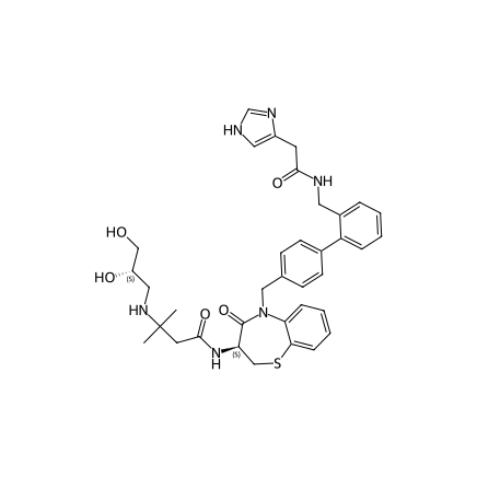 CC(C)(CC(=O)N[C@@H]1CSc2ccccc2N(Cc2ccc(-c3ccccc3CNC(=O)Cc3c[nH]cn3)cc2)C1=O)NC[C@H](O)CO